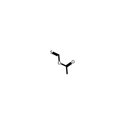 CC(=O)OC=S